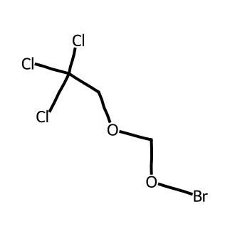 ClC(Cl)(Cl)COCOBr